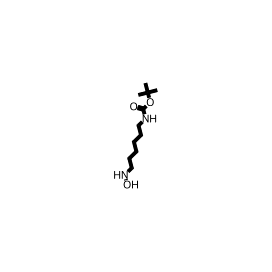 CC(C)(C)OC(=O)NCCCCCCNO